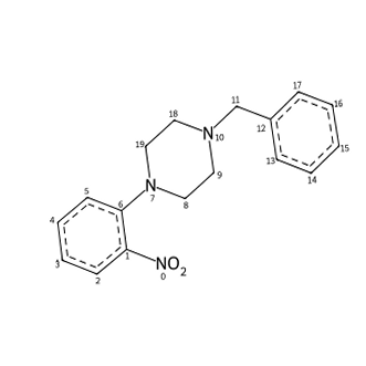 O=[N+]([O-])c1c[c]ccc1N1CCN(Cc2ccccc2)CC1